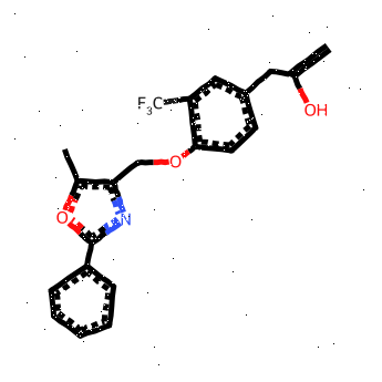 C=C(O)Cc1ccc(OCc2nc(-c3ccccc3)oc2C)c(C(F)(F)F)c1